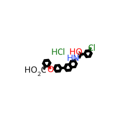 Cl.O=C(O)c1ccccc1Oc1ccc(-c2ccc3c(c2)C[C@@H](NC[C@@H](O)c2cccc(Cl)c2)CC3)cc1